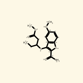 CCC(CC(=O)OC)Sc1c(C(N)=O)sc2ccc(OC)cc12